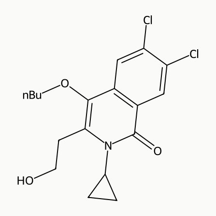 CCCCOc1c(CCO)n(C2CC2)c(=O)c2cc(Cl)c(Cl)cc12